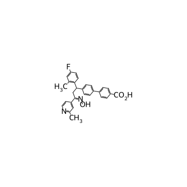 Cc1cc(C(CC(c2ccc(-c3ccc(C(=O)O)cc3)cc2)c2ccc(F)cc2C)=NO)ccn1